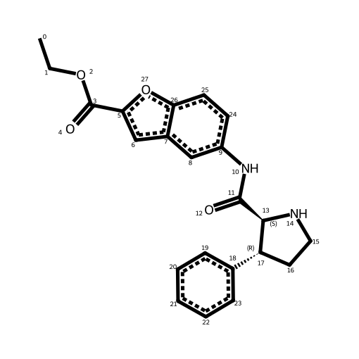 CCOC(=O)c1cc2cc(NC(=O)[C@H]3NCC[C@@H]3c3ccccc3)ccc2o1